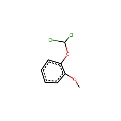 COc1ccccc1OC(Cl)Cl